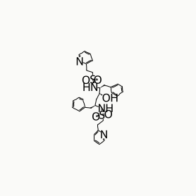 O=S(=O)(CCc1ccccn1)N[C@@H](Cc1ccccc1)C[C@H](O)[C@H](Cc1ccccc1)NS(=O)(=O)CCc1ccccn1